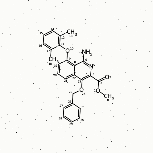 COC(=O)c1nc(N)c2c(Oc3c(C)cccc3C)cccc2c1OCc1ccccc1